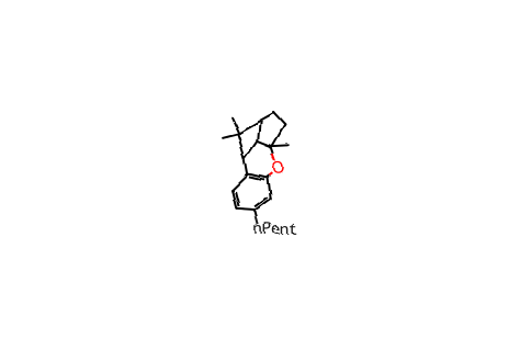 CCCCCc1ccc2c(c1)OC1(C)CCC3C1C2C3(C)C